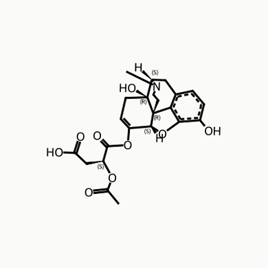 CC(=O)O[C@@H](CC(=O)O)C(=O)OC1=CC[C@]2(O)[C@@H]3Cc4ccc(O)c5c4[C@]2(CCN3C)[C@@H]1O5